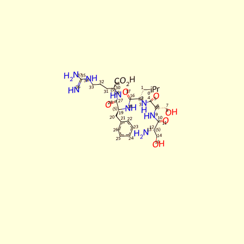 CC(C)C[C@H](NC(=O)[C@H](CO)NC(=O)[C@@H](N)CO)C(=O)N[C@@H](Cc1ccccc1)C(=O)N[C@@H](CCCNC(=N)N)C(=O)O